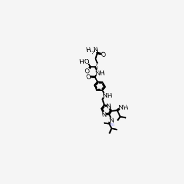 C/C(=N\c1ncc(CNc2ccc(C(=O)N[C@@H](CCC(N)=O)C(=O)O)cc2)nc1C(=N)C(C)C)C(C)C